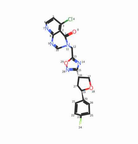 O=c1c2c(Cl)ccnc2ncn1Cc1nc([C@@H]2CO[C@@H](c3ccc(F)cc3)C2)no1